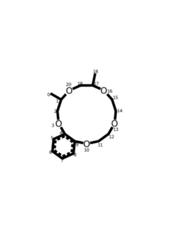 CC1COc2ccccc2OCCOCCOC(C)CO1